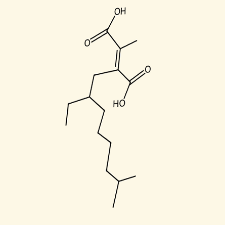 CCC(CCCCC(C)C)C/C(C(=O)O)=C(/C)C(=O)O